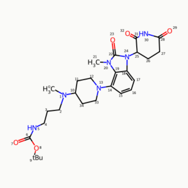 CN(CCCNC(=O)OC(C)(C)C)C1CCN(c2cccc3c2n(C)c(=O)n3C2CCC(=O)NC2=O)CC1